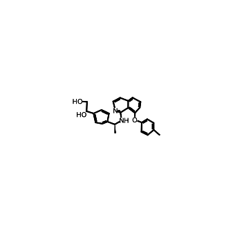 Cc1ccc(Oc2cccc3ccnc(N[C@@H](C)c4ccc(C(O)CO)cc4)c23)cc1